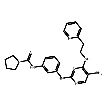 Bc1cnc(Nc2cccc(NC(=O)N3CCCC3)c2)nc1NCCc1ccccn1